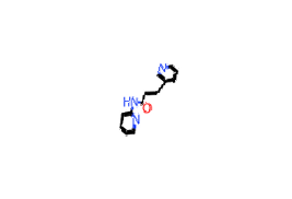 O=C(C=Cc1cccnc1)Nc1ccccn1